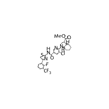 COC(=O)C1CN(c2ncc(C(=O)Nc3nc(-c4cccc(C(F)(F)F)c4F)cs3)cc2Cl)[C@@H]2CCCC[C@H]12